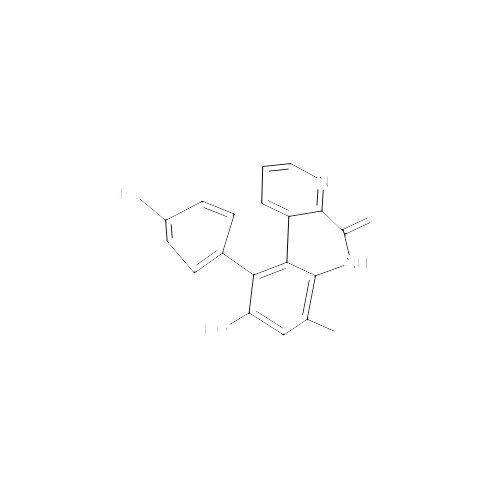 CCC(C)c1ccc(-c2c(O)cc(C)c3[nH]c(=O)c4ncccc4c23)cc1